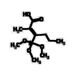 CCCC(=C(C)C(=O)O)[Si](OC)(OC)OC